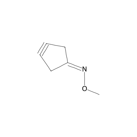 CON=C1CC#CC1